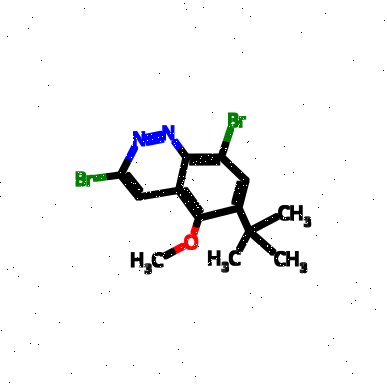 COc1c(C(C)(C)C)cc(Br)c2nnc(Br)cc12